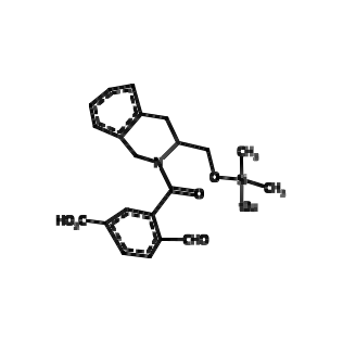 CC(C)(C)[Si](C)(C)OCC1Cc2ccccc2CN1C(=O)c1cc(C(=O)O)ccc1C=O